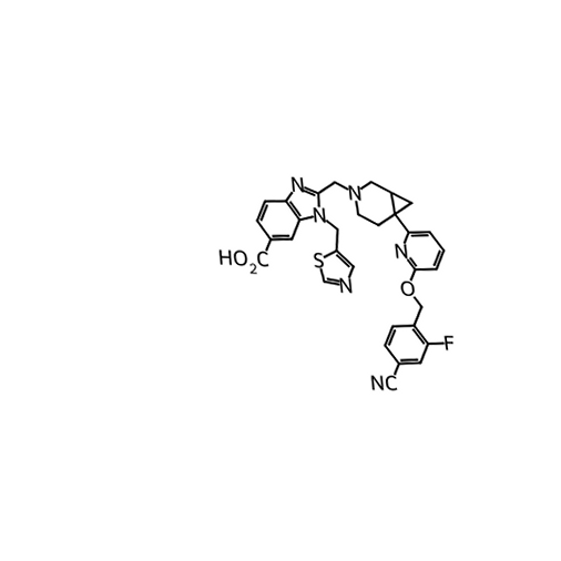 N#Cc1ccc(COc2cccc(C34CCN(Cc5nc6ccc(C(=O)O)cc6n5Cc5cncs5)CC3C4)n2)c(F)c1